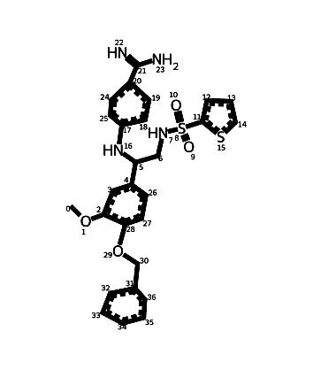 COc1cc(C(CNS(=O)(=O)c2cccs2)Nc2ccc(C(=N)N)cc2)ccc1OCc1ccccc1